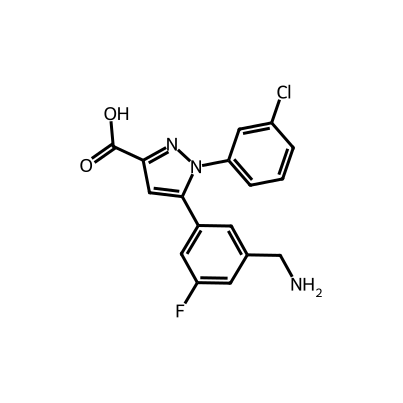 NCc1cc(F)cc(-c2cc(C(=O)O)nn2-c2cccc(Cl)c2)c1